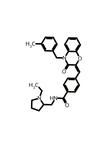 CCN1CCCC1CNC(=O)c1ccc(C=C2Oc3ccccc3N(Cc3cccc(C)c3)C2=O)cc1